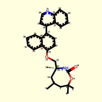 CC1CC(C)(C)OC(=O)N[C@](C)(COc2ccc(-c3ccnc4ccccc34)c3ccccc23)C1